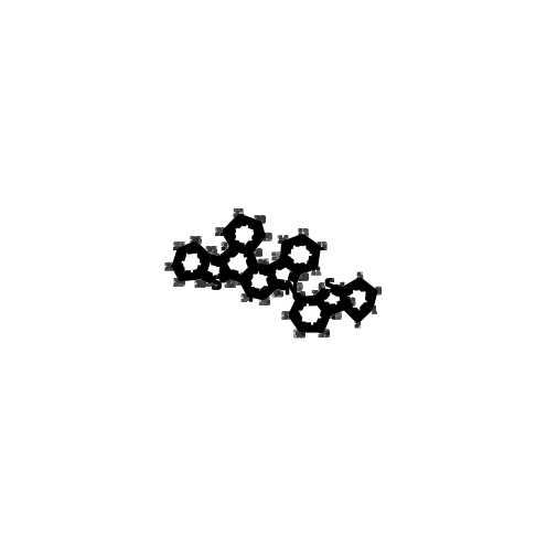 c1ccc2c(c1)sc1c(-n3c4ccccc4c4c5c6ccccc6c6c7ccccc7sc6c5ccc43)cccc12